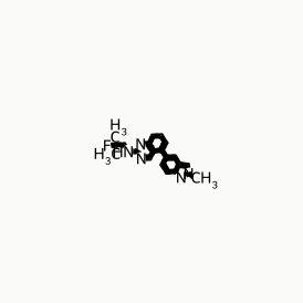 Cn1cc2cc(C3=CCCc4nc(NCC(C)(C)F)ncc43)ccc2n1